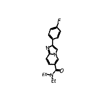 CCN(CC)C(=O)c1ccc2nc(-c3ccc(F)cc3)cn2c1